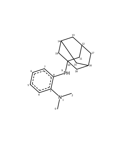 CN(C)c1ccccc1PC12CC3CC(CC(C3)C1)C2